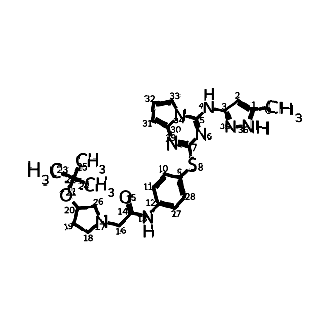 Cc1cc(Nc2nc(Sc3ccc(NC(=O)CN4CCC(OC(C)(C)C)C4)cc3)nc3cccn23)n[nH]1